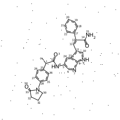 CC(C(=O)Nc1cnc2[nH]cc(C=C(C(N)=O)c3ccccc3)c2c1)c1ccc(N2CCCC2=O)cc1